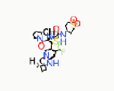 C[C@H]1CCCN1C(=O)c1nc(C(=O)NC2CCS(=O)(=O)CC2)sc1-c1cnc(NC2(C)CCC2)cc1C(F)F